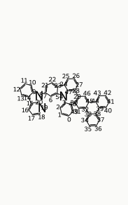 c1ccc(-n2c3cc(-n4c5ccccc5c5cccnc54)ccc3c3cccc(-c4ccc5c6ccccc6c6ccccc6c5c4)c32)cc1